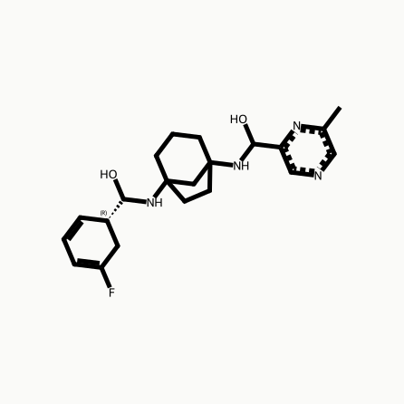 Cc1cncc(C(O)NC23CCCC(NC(O)[C@H]4C=CC=C(F)C4)(CC2)C3)n1